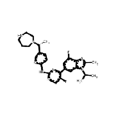 Cc1nc2c(F)cc(-c3nc(Nc4ccc([C@@H](C)N5CCCNCC5)cn4)ncc3F)cc2n1C(C)C